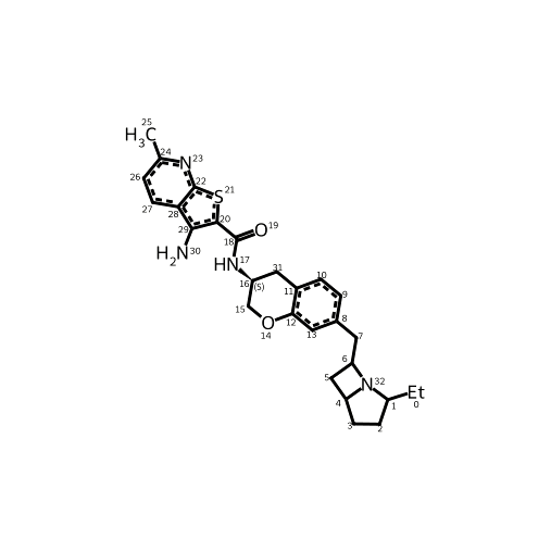 CCC1CCC2CC(Cc3ccc4c(c3)OC[C@@H](NC(=O)c3sc5nc(C)ccc5c3N)C4)N12